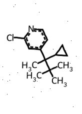 CC(C)(C)C(C)(c1ccnc(Cl)c1)C1CC1